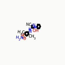 Cc1cc(S(N)(=O)=O)c(C)cc1N=Nc1c(C#N)nn(-c2ccccc2)c1O